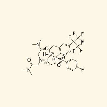 CN(C)C(=O)CN(CC(=O)N(C)C)[C@@H]1CC[C@@]2(S(=O)(=O)c3ccc(F)cc3)c3ccc(C(F)(C(F)(F)F)C(F)(F)F)cc3CC[C@@H]12